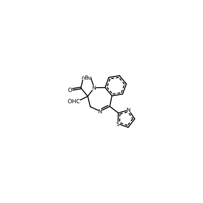 CCCCC(=O)C1(C=O)CN=C(c2nccs2)c2ccccc2N1C